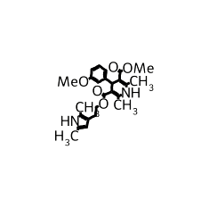 COC(=O)C1=C(C)NC(C)=C(C(=O)OCCc2cc(C)[nH]c2C)C1c1cccc(OC)c1